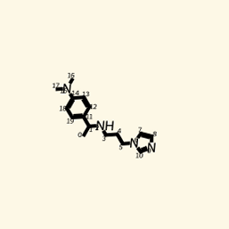 CC(NCCCn1ccnc1)c1ccc(N(C)C)cc1